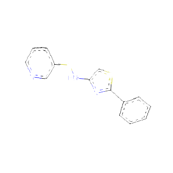 c1ccc(-c2nc(NSc3cccnc3)cs2)cc1